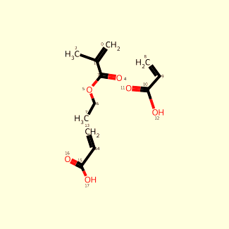 C=C(C)C(=O)OCC.C=CC(=O)O.C=CC(=O)O